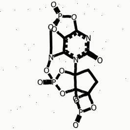 O=c1nc2c3c4n1C15CCC67OP(=O)(O6)OC71OP(=O)(ON4OP(=O)(O2)O3)O5